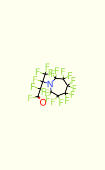 O=C(F)C(F)(F)C(F)(N1C(F)(F)C(F)(F)C(F)(F)C(F)(F)C(F)(F)C1(F)F)C(F)(F)F